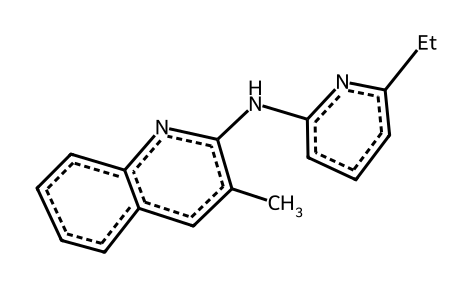 CCc1cccc(Nc2nc3ccccc3cc2C)n1